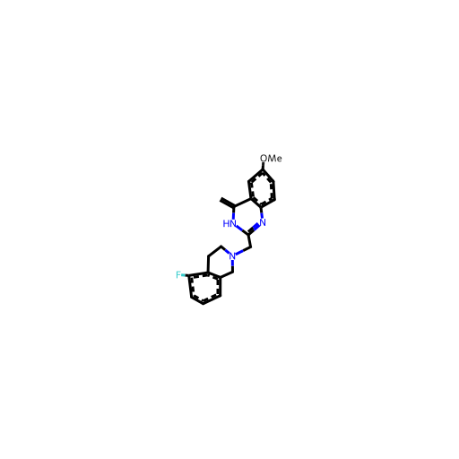 C=C1NC(CN2CCc3c(F)cccc3C2)=Nc2ccc(OC)cc21